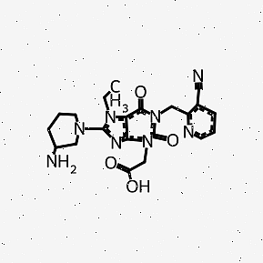 CCn1c(N2CCCC(N)C2)nc2c1c(=O)n(Cc1ncccc1C#N)c(=O)n2CC(=O)O